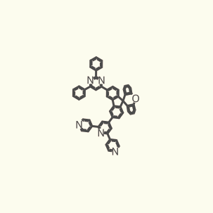 c1ccc(-c2cc(-c3ccc4c(c3)-c3cc(-c5cc(-c6ccncc6)nc(-c6ccncc6)c5)ccc3C43c4ccccc4Oc4ccccc43)nc(-c3ccccc3)n2)cc1